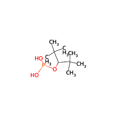 CC(C)(C)C(OP(O)O)C(C)(C)C